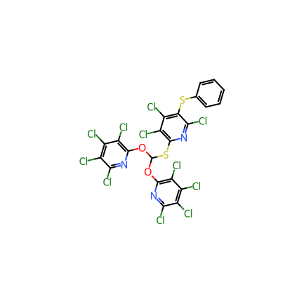 Clc1nc(OC(Oc2nc(Cl)c(Cl)c(Cl)c2Cl)Sc2nc(Cl)c(Sc3ccccc3)c(Cl)c2Cl)c(Cl)c(Cl)c1Cl